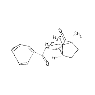 CC1(C)[C@H]2CC[C@]1(C)C(=O)/C2=C/C(=O)c1ccccc1